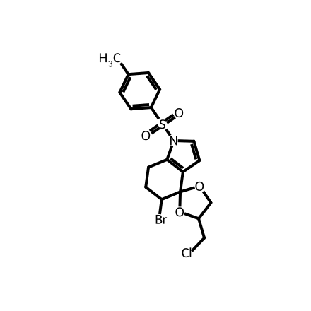 Cc1ccc(S(=O)(=O)n2ccc3c2CCC(Br)C32OCC(CCl)O2)cc1